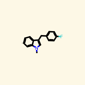 Cn1cc(Cc2ccc(F)cc2)c2cc[c]cc21